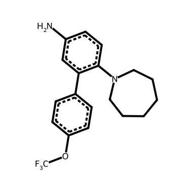 Nc1ccc(N2CCCCCC2)c(-c2ccc(OC(F)(F)F)cc2)c1